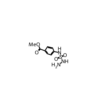 COC(=O)c1ccc(NS(=O)(=O)NN)cc1